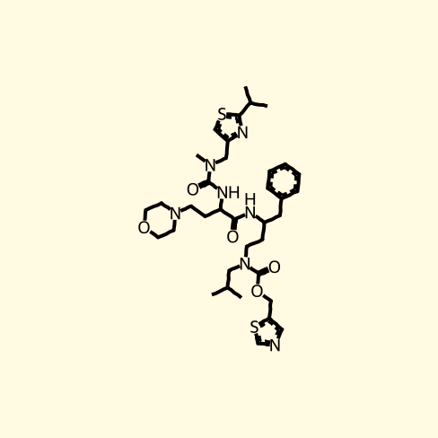 CC(C)CN(CCC(Cc1ccccc1)NC(=O)C(CCN1CCOCC1)NC(=O)N(C)Cc1csc(C(C)C)n1)C(=O)OCc1cncs1